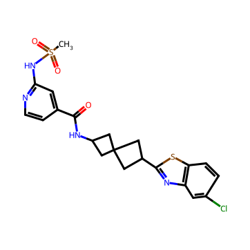 CS(=O)(=O)Nc1cc(C(=O)NC2CC3(C2)CC(c2nc4cc(Cl)ccc4s2)C3)ccn1